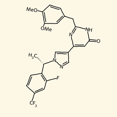 COc1ccc(Cc2nc(-c3cnn([C@@H](C)c4ccc(C(F)(F)F)cc4F)c3)cc(=O)[nH]2)cc1OC